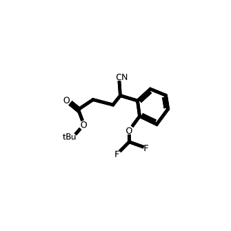 CC(C)(C)OC(=O)CCC(C#N)c1ccccc1OC(F)F